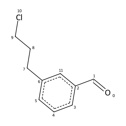 O=[C]c1cccc(CCCCl)c1